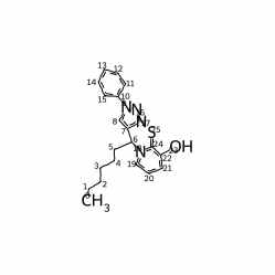 CCCCCCC(c1cn(-c2ccccc2)nn1)n1cccc(O)c1=S